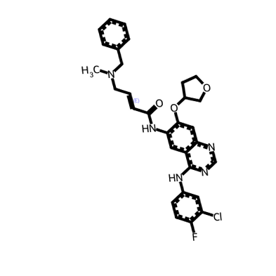 CN(C/C=C/C(=O)Nc1cc2c(Nc3ccc(F)c(Cl)c3)ncnc2cc1OC1CCOC1)Cc1ccccc1